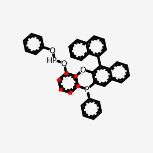 c1ccc(OPOc2ccccc2Oc2c(P(c3ccccc3)c3ccccc3)cc3ccccc3c2-c2cccc3ccccc23)cc1